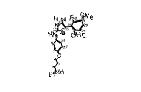 CCNCCCOc1ccc(Nc2nc(N)c(-c3c(C=O)ccc(OC)c3F)s2)cc1